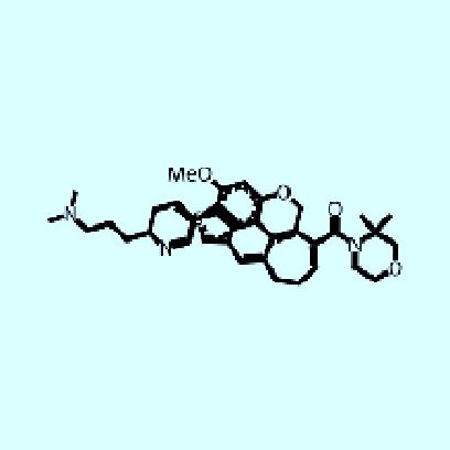 COc1cc2c(cc1C1=CCC(CCCN(C)C)N=C1)C1=C(CO2)C(C(=O)N2CCOCC2(C)C)=CCC/C1=C/c1ccsc1